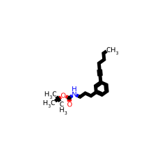 CCCCC#Cc1cccc(CCCNC(=O)OC(C)(C)C)c1